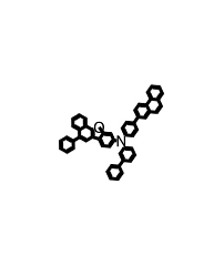 c1ccc(-c2cccc(N(c3ccc(-c4ccc5c(ccc6ccccc65)c4)cc3)c3ccc4c(c3)oc3c5ccccc5c(-c5ccccc5)cc43)c2)cc1